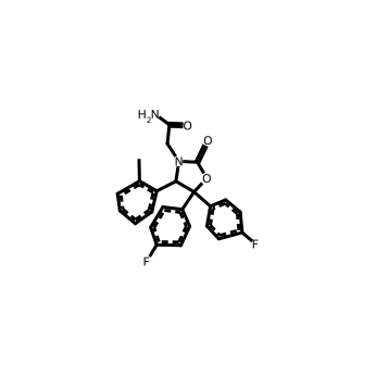 Cc1ccccc1C1N(CC(N)=O)C(=O)OC1(c1ccc(F)cc1)c1ccc(F)cc1